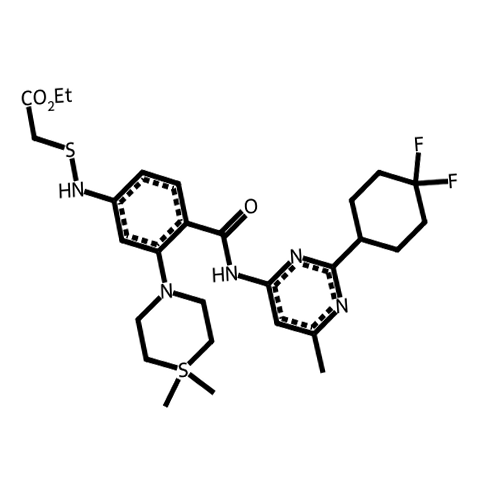 CCOC(=O)CSNc1ccc(C(=O)Nc2cc(C)nc(C3CCC(F)(F)CC3)n2)c(N2CCS(C)(C)CC2)c1